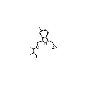 CC/C(C)=C(/C)OCc1nn(CC2CC2)c2ccc(C)cc12